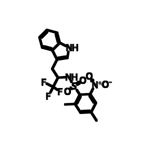 Cc1cc(C)c(S(=O)(=O)NC(Cc2c[nH]c3ccccc23)C(F)(F)F)c([N+](=O)[O-])c1